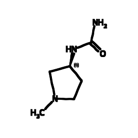 CN1CC[C@H](NC(N)=O)C1